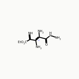 CCOC(=O)C(=N)/C(N)=C(\N)C(=O)NN